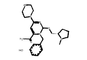 CN1CCC[C@H]1COC1N=C(N2CCNCC2)C=C(C(N)=O)N1Cc1ccccc1.Cl